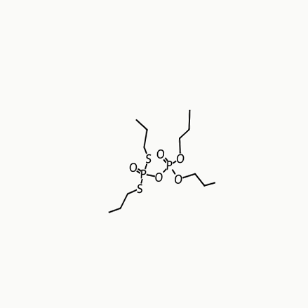 CCCOP(=O)(OCCC)OP(=O)(SCCC)SCCC